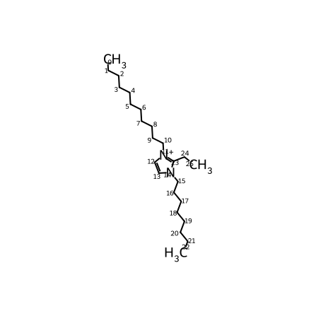 CCCCCCCCCCC[n+]1ccn(CCCCCCCC)c1CC